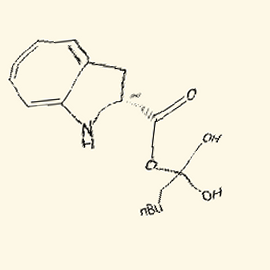 CCCCC(O)(O)OC(=O)[C@H]1Cc2ccccc2N1